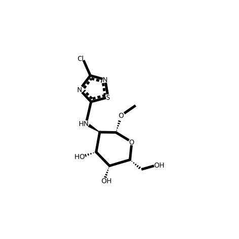 CO[C@@H]1O[C@H](CO)[C@H](O)[C@H](O)[C@H]1Nc1nc(Cl)ns1